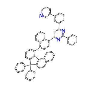 c1ccc(-c2nc(-c3cccc(-c4cccnc4)c3)cc(-c3ccc(-c4cccc5c4-c4c(ccc6ccccc46)C5(c4ccccc4)c4ccccc4)c4ccccc34)n2)cc1